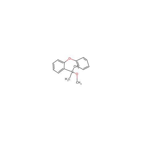 CO[Si](C)(C)c1ccccc1Oc1ccccc1